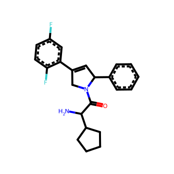 NC(C(=O)N1CC(c2cc(F)ccc2F)=CC1c1ccccc1)C1CCCC1